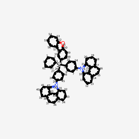 c1ccc([Si](c2ccc(-n3c4cccc5ccc6cccc3c6c54)cc2)(c2ccc(-n3c4cccc5ccc6cccc3c6c54)cc2)c2ccc3oc4ccccc4c3c2)cc1